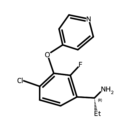 CC[C@@H](N)c1ccc(Cl)c(Oc2ccncc2)c1F